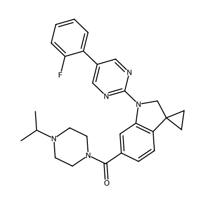 CC(C)N1CCN(C(=O)c2ccc3c(c2)N(c2ncc(-c4ccccc4F)cn2)CC32CC2)CC1